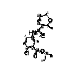 CC1=C(C(=S)Nc2ccc(Cl)c(C(=O)OC(C)C)c2)SCCO1